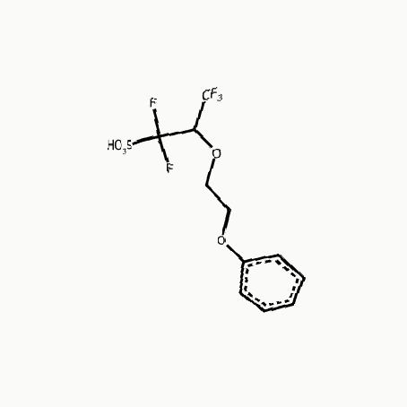 O=S(=O)(O)C(F)(F)C(OCCOc1ccccc1)C(F)(F)F